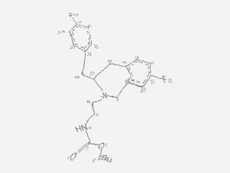 CC(C)(C)OC(=O)NCCN1Cc2cc(F)ccc2CC1Cc1ccc(F)cc1